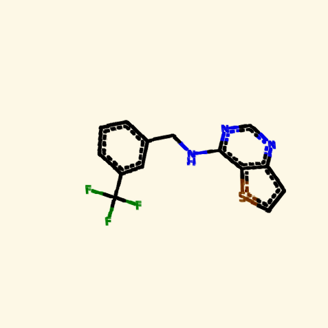 FC(F)(F)c1cccc(CNc2ncnc3ccsc23)c1